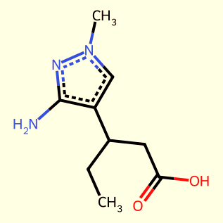 CCC(CC(=O)O)c1cn(C)nc1N